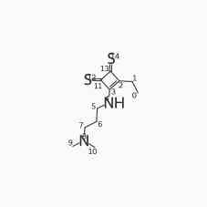 CCc1c(NCCCN(C)C)c(=S)c1=S